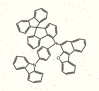 c1ccc2c(c1)-c1ccccc1C21c2ccccc2-c2c(N(c3ccc(-n4c5ccccc5c5ccccc54)cc3)c3cc4ccccc4c4c3oc3ccccc34)cccc21